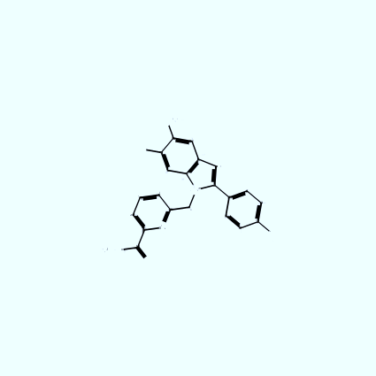 COC(=O)c1cccc(Cn2c(-c3ccc(F)cc3)cc3cc(OC)c(F)cc32)n1